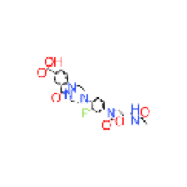 CC(=O)NC[C@H]1CN(c2ccc(N3CCn4c(=O)c5cc(C(=O)O)ccc5n4CC3)c(F)c2)C(=O)O1